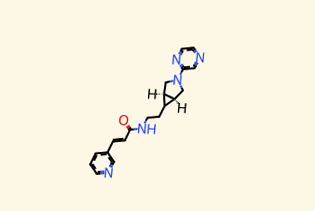 O=C(/C=C/c1cccnc1)NCCC1[C@H]2CN(c3cnccn3)C[C@@H]12